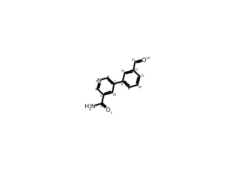 NC(=O)c1cncc(-c2cccc(C=O)c2)c1